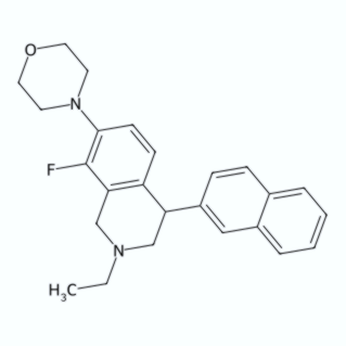 CCN1Cc2c(ccc(N3CCOCC3)c2F)C(c2ccc3ccccc3c2)C1